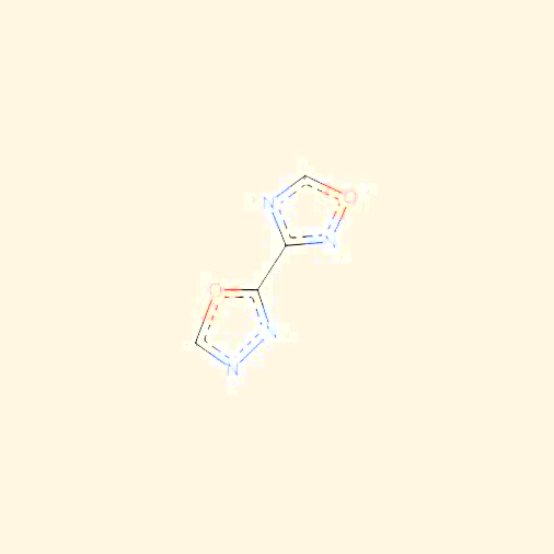 [c]1nc(-c2nn[c]o2)no1